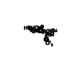 CC(C)(C)OC(=O)NC(Cc1ccc(C(F)(F)F)cc1)C(=O)N1CC(CCCPOC(C)(C)C(C)(C)O)C(C(=O)OCC=O)C1